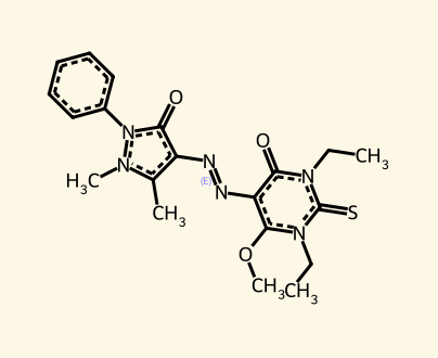 CCn1c(OC)c(/N=N/c2c(C)n(C)n(-c3ccccc3)c2=O)c(=O)n(CC)c1=S